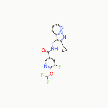 O=C(NCc1c(C2CC2)nn2ncccc12)c1cnc(OC(F)F)c(F)c1